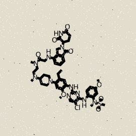 CCc1cc(Nc2ncc(Cl)c(Nc3ccc(OC)cc3N(C)S(C)(=O)=O)n2)c(OC)cc1N1CCC(N(C)CCN(C)C(=O)CNc2cccc3c2CN(C2CCC(=O)NC2=O)C3=O)CC1